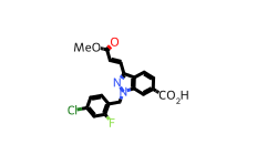 COC(=O)/C=C/c1nn(Cc2ccc(Cl)cc2F)c2cc(C(=O)O)ccc12